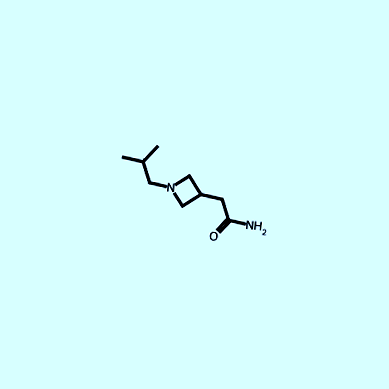 C[C](C)CN1CC(CC(N)=O)C1